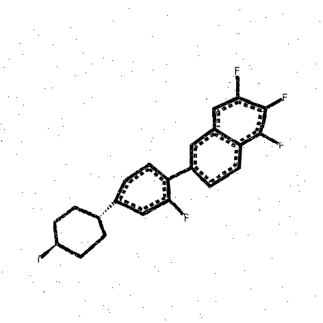 Fc1cc([C@H]2CC[C@H](I)CC2)ccc1-c1ccc2c(F)c(F)c(F)cc2c1